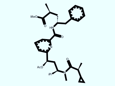 COC(=O)[C@@H](C)C[C@H](Cc1ccccc1)NC(=O)c1cccc([C@@H](C[C@H](C(C)C)N(C)C(=O)[C@@H](C)C2CC2)OC(C)=O)n1